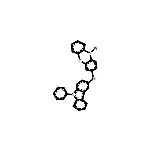 CCN1c2ccccc2Oc2cc(Nc3ccc4c(c3)c3ccccc3n4-c3ccccc3)ccc21